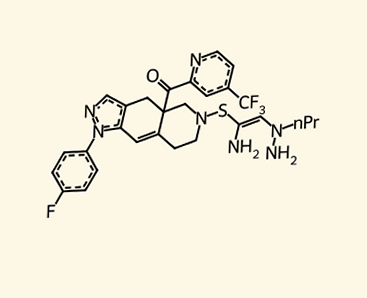 CCCN(N)/C=C(\N)SN1CCC2=Cc3c(cnn3-c3ccc(F)cc3)CC2(C(=O)c2cc(C(F)(F)F)ccn2)C1